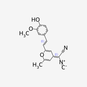 [C-]#[N+]/C(C#N)=C1\C=C(C)OC(/C=C/c2ccc(O)c(OC)c2)=C1